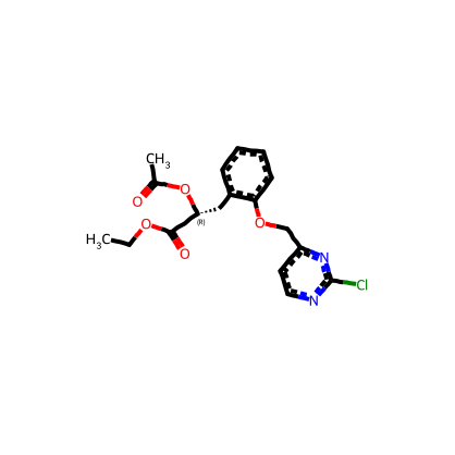 CCOC(=O)[C@@H](Cc1ccccc1OCc1ccnc(Cl)n1)OC(C)=O